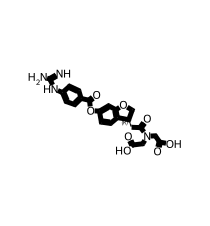 N=C(N)Nc1ccc(C(=O)Oc2ccc3c(c2)OC[C@@H]3CC(=O)N(CC(=O)O)CC(=O)O)cc1